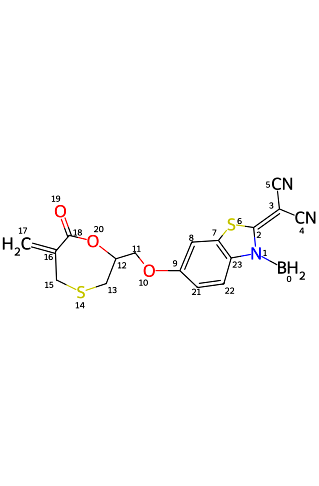 BN1C(=C(C#N)C#N)Sc2cc(OCC3CSCC(=C)C(=O)O3)ccc21